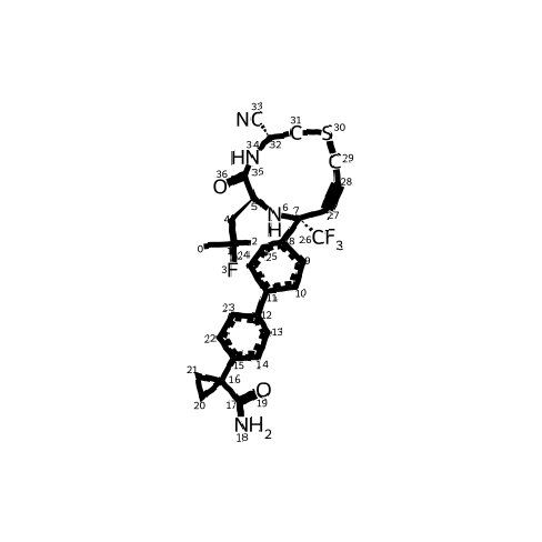 CC(C)(F)C[C@@H]1N[C@@](c2ccc(-c3ccc(C4(C(N)=O)CC4)cc3)cc2)(C(F)(F)F)C#CCSC[C@@H](C#N)NC1=O